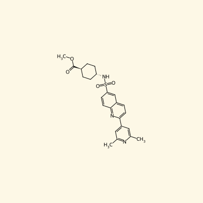 COC(=O)[C@H]1CC[C@H](NS(=O)(=O)c2ccc3nc(-c4cc(C)nc(C)c4)ccc3c2)CC1